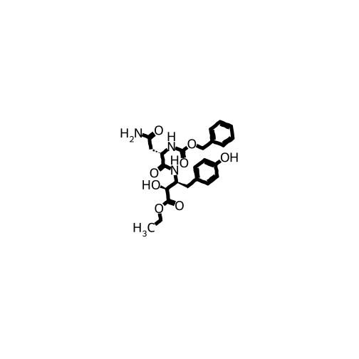 CCOC(=O)[C@@H](O)[C@H](Cc1ccc(O)cc1)NC(=O)[C@H](CC(N)=O)NC(=O)OCc1ccccc1